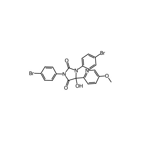 COc1ccc(C2(O)C(=O)N(c3ccc(Br)cc3)C(=O)N2c2ccc(Br)cc2)nc1